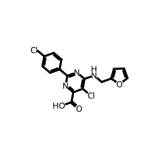 O=C(O)c1nc(-c2ccc(Cl)cc2)nc(NCc2ccco2)c1Cl